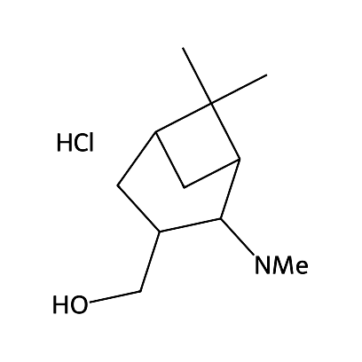 CNC1C(CO)CC2CC1C2(C)C.Cl